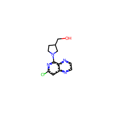 OCC1CCN(c2nc(Cl)cc3nccnc23)C1